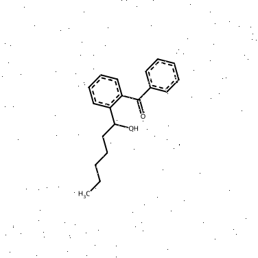 CCCCCC(O)c1ccccc1C(=O)c1ccccc1